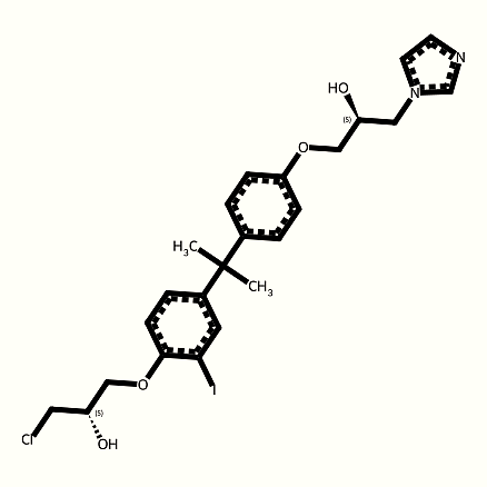 CC(C)(c1ccc(OC[C@@H](O)Cn2ccnc2)cc1)c1ccc(OC[C@H](O)CCl)c(I)c1